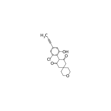 CC#Cc1cc(O)c(C2C(=O)CC3(CCOCC3)CC2=O)c(Cl)c1